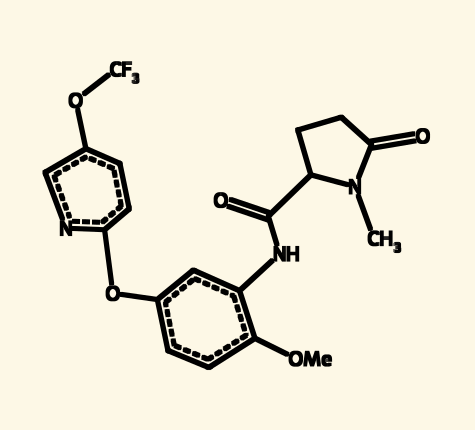 COc1ccc(Oc2ccc(OC(F)(F)F)cn2)cc1NC(=O)C1CCC(=O)N1C